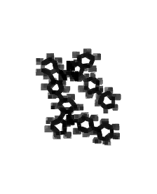 c1ccc(-c2ccc(-c3nc(-n4c5ccccc5c5ccc(-c6ccc7c(c6)c6ccccc6n7-c6ccc(-c7ccccc7)cc6)cc54)nc4ccccc34)cc2)cc1